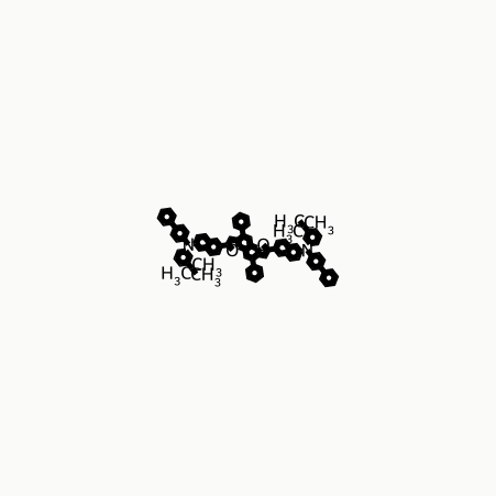 CC(C)(C)c1cccc(N(c2ccc(-c3ccccc3)cc2)c2ccc3cc(-c4cc5c(-c6ccccc6)cc6c(cc(-c7ccccc7)c7cc(-c8ccc9cc(N(c%10ccc(-c%11ccccc%11)cc%10)c%10cccc(C(C)(C)C)c%10)ccc9c8)oc76)c5o4)ccc3c2)c1